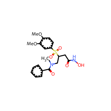 COc1ccc(S(=O)(=O)C(CC(=O)NO)CN(C)C(=O)c2ccccc2)cc1OC